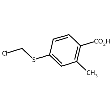 Cc1cc(SCCl)ccc1C(=O)O